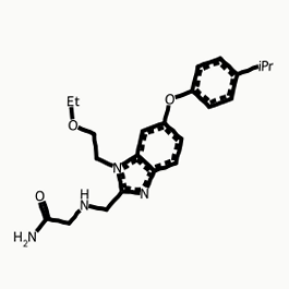 CCOCCn1c(CNCC(N)=O)nc2ccc(Oc3ccc(C(C)C)cc3)cc21